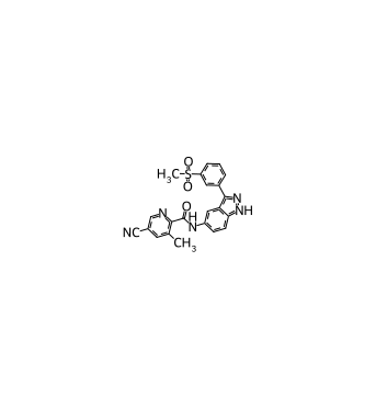 Cc1cc(C#N)cnc1C(=O)Nc1ccc2[nH]nc(-c3cccc(S(C)(=O)=O)c3)c2c1